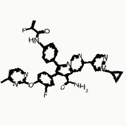 C=C(F)C(=O)Nc1ccc(-c2c(-c3ccc(Oc4nccc(C)n4)c(F)c3)c(C(N)=O)c3cc(-c4cnn(C5CC5)c4)ncn23)cc1